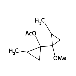 COC1(C2(OC(C)=O)CC2C)CC1C